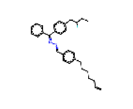 C=CCCCCCc1ccc(C=NN=C(c2ccccc2)c2ccc(CC(F)CC)cc2)cc1